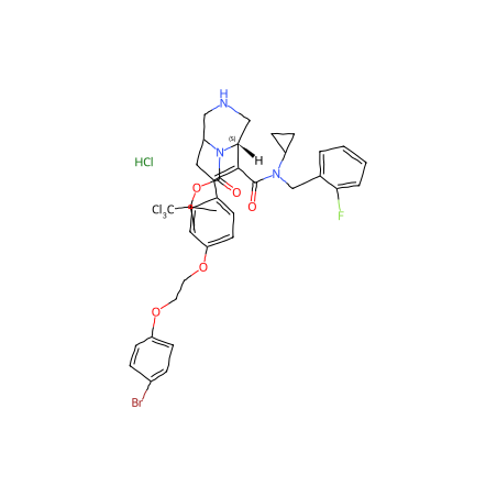 CC(C)(OC(=O)N1C2CNC[C@@H]1C(C(=O)N(Cc1ccccc1F)C1CC1)=C(c1ccc(OCCOc3ccc(Br)cc3)cc1)C2)C(Cl)(Cl)Cl.Cl